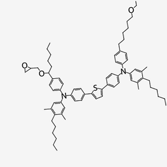 CCCCCCc1c(C)cc(N(c2ccc(CCCCCCOCC3CO3)cc2)c2ccc(-c3ccc(-c4ccc(N(c5ccc(C(CCCCC)OCC6CO6)cc5)c5cc(C)c(CCCCCC)c(C)c5)cc4)s3)cc2)cc1C